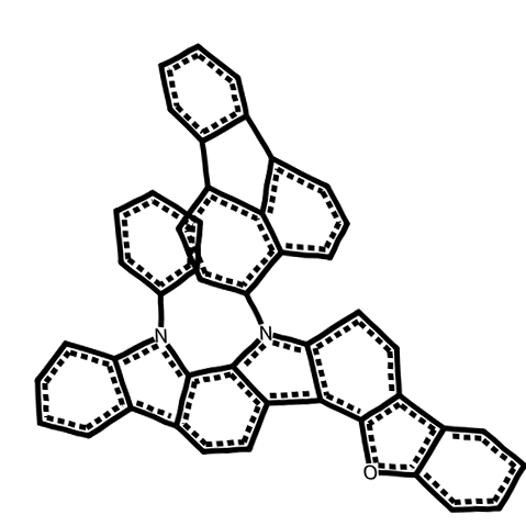 c1ccc(-n2c3ccccc3c3ccc4c5c6oc7ccccc7c6ccc5n(-c5ccc6c7c(cccc57)-c5ccccc5-6)c4c32)cc1